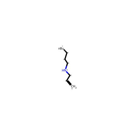 C=CCNCCCCCCC